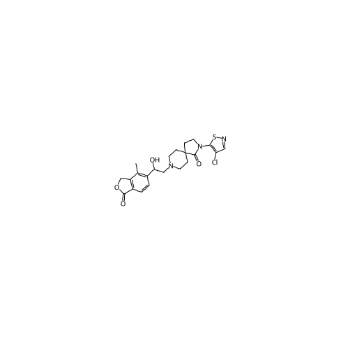 Cc1c(C(O)CN2CCC3(CC2)CCN(c2sncc2Cl)C3=O)ccc2c1COC2=O